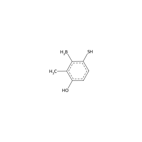 Bc1c(S)ccc(O)c1C